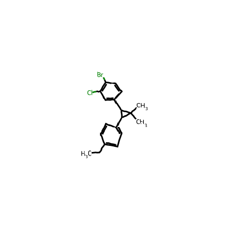 CCc1ccc(C2C(c3ccc(Br)c(Cl)c3)C2(C)C)cc1